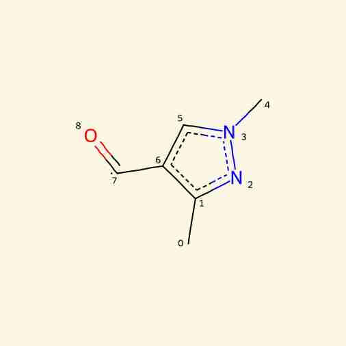 Cc1nn(C)cc1[C]=O